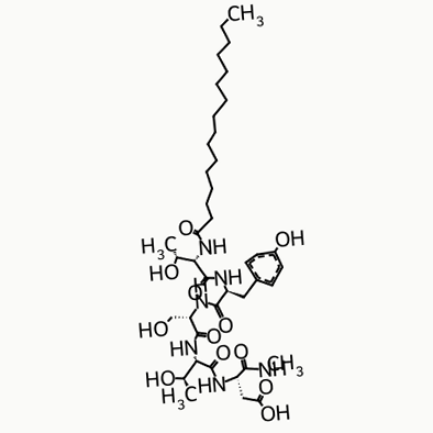 CCCCCCCCCCCCCCCC(=O)N[C@H](C(=O)N[C@@H](Cc1ccc(O)cc1)C(=O)N[C@@H](CO)C(=O)N[C@H](C(=O)N[C@@H](CC(=O)O)C(=O)NC)[C@@H](C)O)[C@@H](C)O